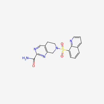 NC(=O)c1n[c]c2c(n1)CN(S(=O)(=O)c1cccc3cccnc13)CC2